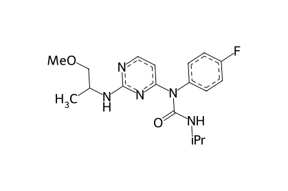 COCC(C)Nc1nccc(N(C(=O)NC(C)C)c2ccc(F)cc2)n1